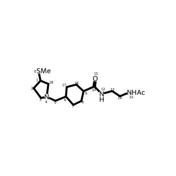 CSC1CCN(CC2CCC(C(=O)NCCNC(C)=O)CC2)C1